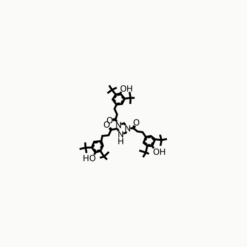 CC(C)(C)c1cc(CCC(=O)C2NCN(C(=O)CCc3cc(C(C)(C)C)c(O)c(C(C)(C)C)c3)CN2C(=O)CCc2cc(C(C)(C)C)c(O)c(C(C)(C)C)c2)cc(C(C)(C)C)c1O